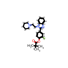 CC(C)(C)C(=O)Oc1ccc(-c2nc3ccccc3n2CCN2CCCCC2)cc1F